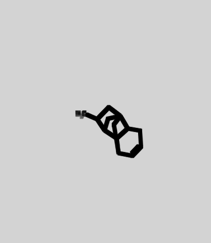 CC1CC23CC4C=CCC2C4C1C3